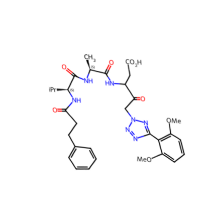 COc1cccc(OC)c1-c1nnn(CC(=O)C(CC(=O)O)NC(=O)[C@H](C)NC(=O)[C@@H](NC(=O)CCc2ccccc2)C(C)C)n1